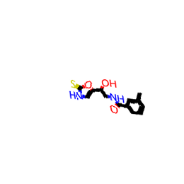 Cc1cccc(C(=O)NCC(O)c2c[nH]c(=S)o2)c1